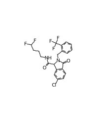 O=C(NCCCC(F)F)C1c2cc(Cl)ccc2C(=O)N1Cc1ccccc1C(F)(F)F